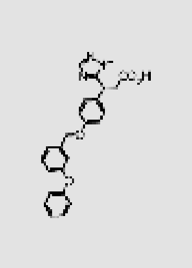 Cn1ncnc1[C@@H](CC(=O)O)c1ccc(OCc2cccc(Oc3ccccc3)c2)cc1